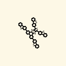 c1ccc2c(c1)sc1cc(-c3ccc4c5ccc(-c6ccc7c(c6)sc6ccccc67)cc5c5nc6c(-c7ccc8c(c7)sc7ccccc78)sc(-c7ccc8c(c7)sc7ccccc78)c6nc5c4c3)ccc12